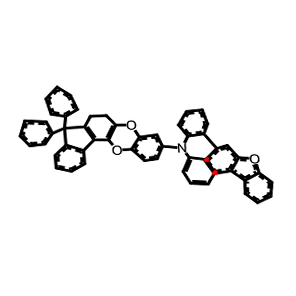 C1=CCCC(N(c2ccc3c(c2)OC2=C(O3)C3=C(CC2)C(c2ccccc2)(c2ccccc2)c2ccccc23)c2ccccc2-c2ccc3c(c2)oc2ccccc23)=C1